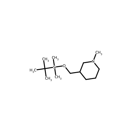 CN1CCCC(CO[Si](C)(C)C(C)(C)C)C1